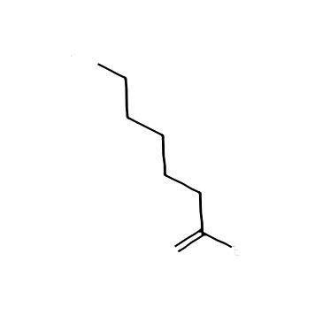 CCC(=O)CCCCCOC(C)=O